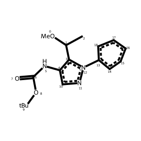 COC(C)c1c(NC(=O)OC(C)(C)C)cnn1-c1ccccc1